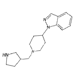 c1ccc2c(c1)cnn2C1CCN(CC2CCNC2)CC1